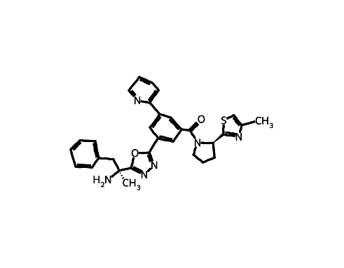 Cc1csc([C@H]2CCCN2C(=O)c2cc(-c3ccccn3)cc(-c3nnc([C@@](C)(N)Cc4ccccc4)o3)c2)n1